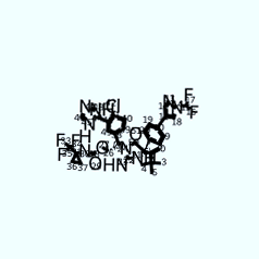 C=C(C(C)(C)C)[C@]1(c2ccc(-c3cnn(C(F)F)c3)cc2)NC(=N)N([C@H](COC(=O)NC2(C(F)(F)F)CC2)c2ccc(Cl)c(-c3ncn[nH]3)c2)C1=O